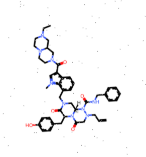 C=CCN1CC(=O)N2C(Cc3ccc(O)cc3)C(=O)N(Cc3cccc4c(C(=O)N5CCN6CCN(CC)CC6C5)cn(C)c34)C[C@@H]2N1C(=O)NCc1ccccc1